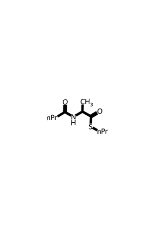 CCCSC(=O)C(C)NC(=O)CCC